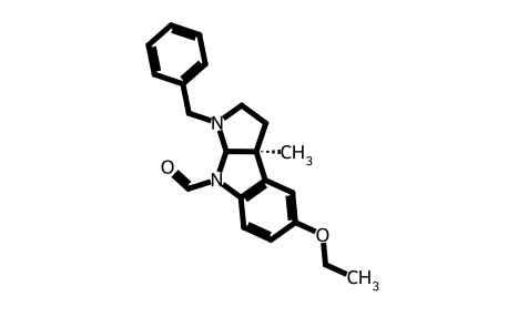 CCOc1ccc2c(c1)[C@]1(C)CCN(Cc3ccccc3)C1N2C=O